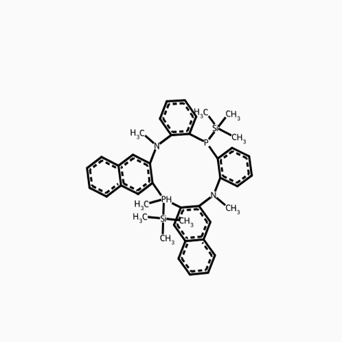 CN1c2ccccc2P([Si](C)(C)C)c2ccccc2N(C)c2cc3ccccc3cc2[PH](C)([Si](C)(C)C)c2cc3ccccc3cc21